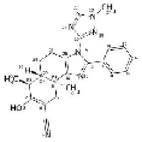 C[C@@H]1C(O)=C(C#N)C[C@]2(C)c3nc(-c4ccccc4)n(-c4nnn(C)n4)c3CC[C@@H]12